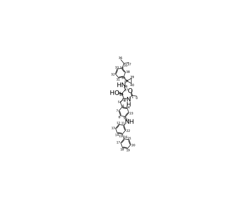 CC(=O)N[C@@H](Cc1ccc(Nc2cccc(-c3ccccc3)c2)cc1)[C@@H](O)CNC1(c2cccc(C(C)C)c2)CC1